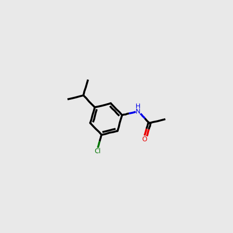 CC(=O)Nc1cc(Cl)cc(C(C)C)c1